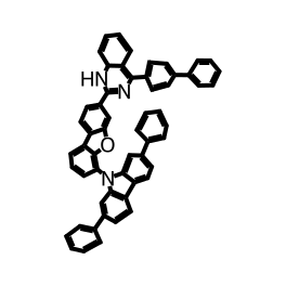 C1=CC2=C(c3ccc(-c4ccccc4)cc3)N=C(c3ccc4c(c3)oc3c(-n5c6cc(-c7ccccc7)ccc6c6ccc(-c7ccccc7)cc65)cccc34)NC2C=C1